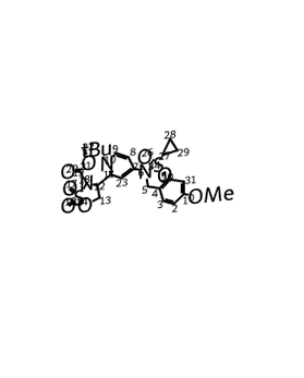 COc1ccc(CN(c2ccnc(C3COS(=O)(=O)N3C(=O)OC(C)(C)C)c2)S(=O)(=O)C2CC2)cc1